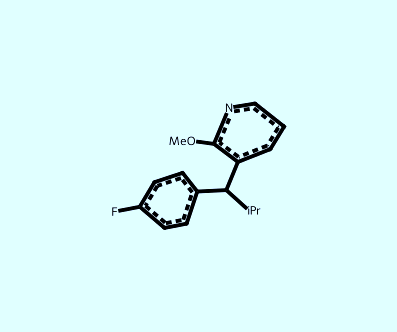 COc1ncccc1C(c1ccc(F)cc1)C(C)C